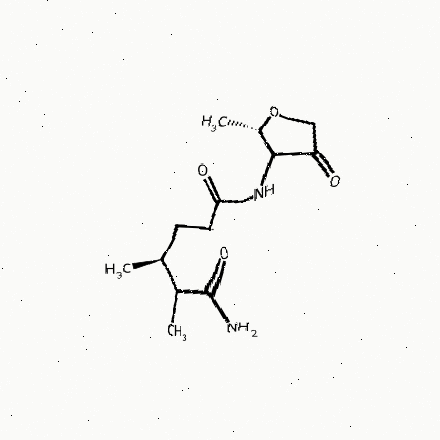 CC(C(N)=O)[C@@H](C)C[CH]C(=O)NC1C(=O)CO[C@H]1C